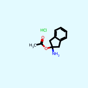 CC(=O)OC1(N)Cc2ccccc2C1.Cl